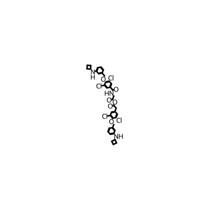 O=C(CNC(=O)c1cc(Cl)c(OCc2cccc(NC3CCC3)c2)c(Cl)c1)OC(=O)Cc1cc(Cl)c(OCc2cccc(NC3CCC3)c2)c(Cl)c1